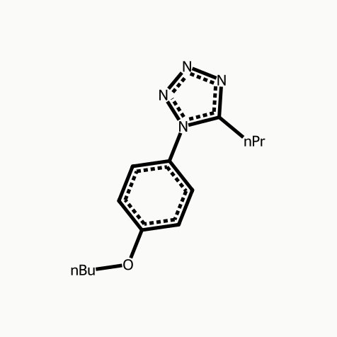 CCCCOc1ccc(-n2nnnc2CCC)cc1